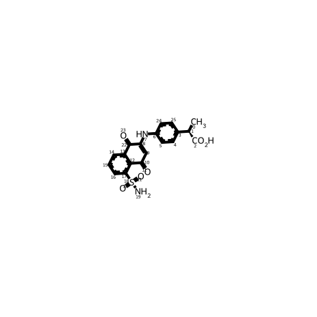 C[C@@H](C(=O)O)c1ccc(NC2=CC(=O)c3c(cccc3S(N)(=O)=O)C2=O)cc1